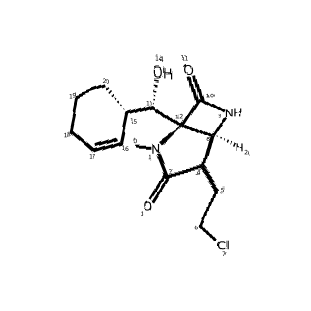 CN1C(=O)C(CCCl)[C@@H]2NC(=O)[C@@]21[C@@H](O)[C@@H]1C=CCCC1